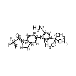 CC(C)(C)c1cc(N)n(-c2ccc3c(c2)CCN3C(=O)C(F)(F)F)n1